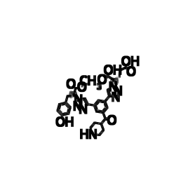 COC(=O)[C@H](Cc1ccc(O)cc1)n1cc(-c2cc(C(=O)C3CCNCC3)cc(-c3cn([C@@H](CCC(=O)O)C(=O)O)nn3)c2)nn1